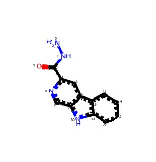 NNC(=O)c1cc2c(cn1)[nH]c1ccccc12